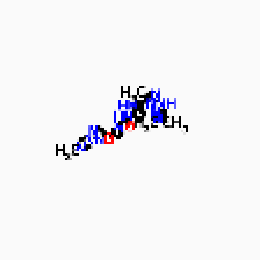 Cc1cnc(Nc2cc(C)n(C)n2)nc1-c1c[nH]c2c(NC(=O)CN3CCC(Oc4ccnc(N5CCN(C)CC5)n4)C3)cccc12